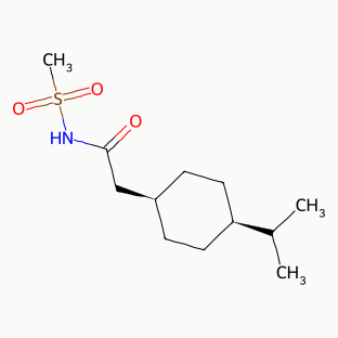 CC(C)[C@H]1CC[C@@H](CC(=O)NS(C)(=O)=O)CC1